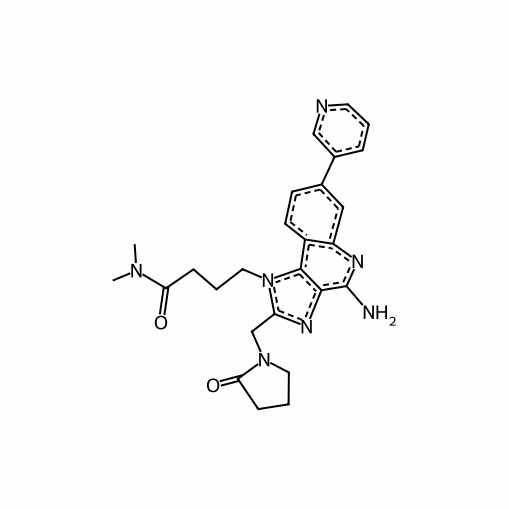 CN(C)C(=O)CCCn1c(CN2CCCC2=O)nc2c(N)nc3cc(-c4cccnc4)ccc3c21